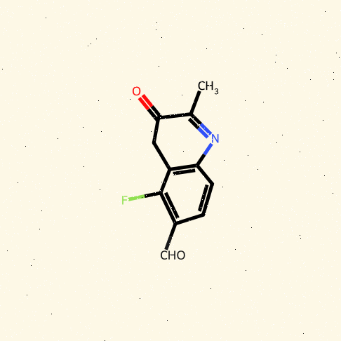 CC1=Nc2ccc(C=O)c(F)c2CC1=O